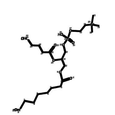 CCCCCCCCCCCCCCCCC(=O)OCC(COP(=O)(O)OCC[N+](C)(C)C)OC(=O)CCCC=O